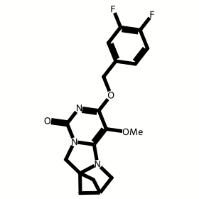 COc1c(OCc2ccc(F)c(F)c2)nc(=O)n2c1N1CC3CC1(C3)C2